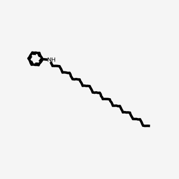 CCCCCCCCCCCCCCCCCCCCNc1ccccc1